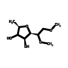 COCC(OC)[C@H]1O[C@@H](C)C(O)[C@@H]1O